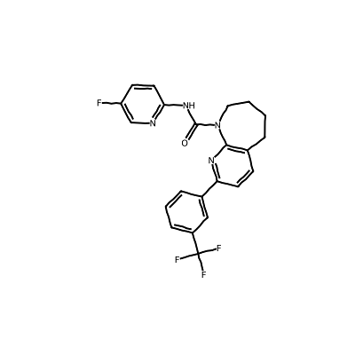 O=C(Nc1ccc(F)cn1)N1CCCCc2ccc(-c3cccc(C(F)(F)F)c3)nc21